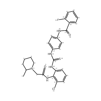 CC1CCCCN1CC(=O)Nc1c(Cl)cccc1NC(=S)Nc1ccc(NC(=O)c2ccccc2F)cc1